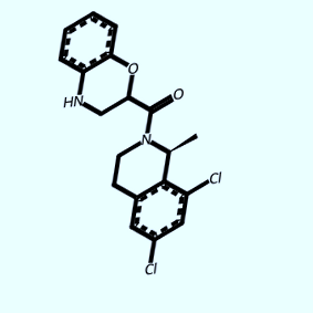 C[C@H]1c2c(Cl)cc(Cl)cc2CCN1C(=O)C1CNc2ccccc2O1